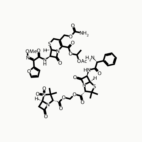 CC1(C)S[C@@H]2[C@H](NC(=O)[C@H](N)c3ccccc3)C(=O)N2[C@H]1C(=O)OCOC(=O)[C@@H]1N2C(=O)C[C@H]2S(=O)(=O)C1(C)C.CO/N=C(\C(=O)N[C@@H]1C(=O)N2C(C(=O)OC(C)OC(C)=O)=C(COC(N)=O)CS[C@H]12)c1ccco1